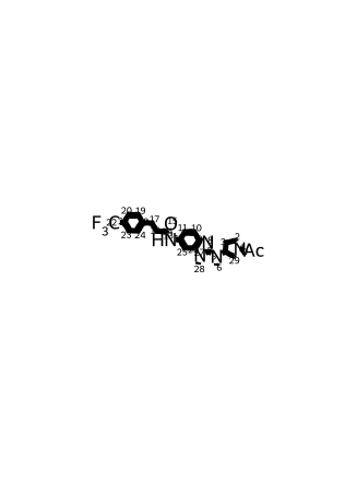 CC(=O)N1CCC(N(C)c2nc3ccc(NC(=O)CCc4ccc(C(F)(F)F)cc4)cc3n2C)C1